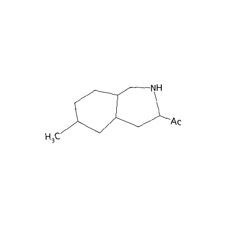 CC(=O)C1CC2CC(C)CCC2CN1